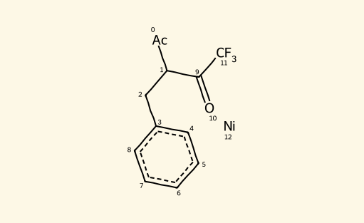 CC(=O)C(Cc1ccccc1)C(=O)C(F)(F)F.[Ni]